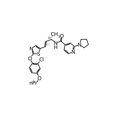 CCCOc1ccc(Oc2ncc(/C=C/[C@H](C)NC(=O)c3ccnc(N4CCCC4)c3)s2)c(Cl)c1